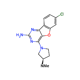 CN[C@@H]1CCN(c2nc(N)nc3c2oc2cc(Cl)ccc23)C1